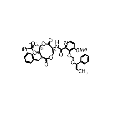 CC=C(OCOc1c(OC)ccnc1C(=O)N[C@H]1COC(=O)[C@H](Cc2ccccc2)[C@@H](OC(=O)C(C)C)[C@H](C)OC1=O)c1ccccc1